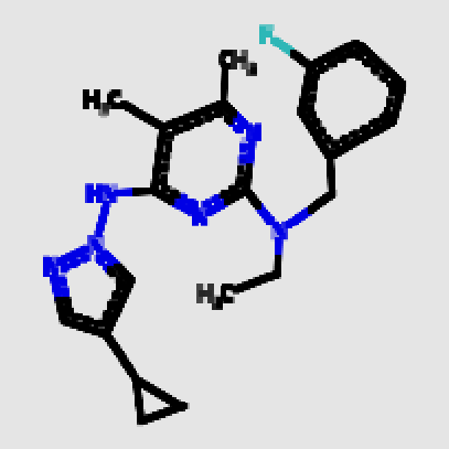 CCN(Cc1cccc(F)c1)c1nc(C)c(C)c(Nn2cc(C3CC3)cn2)n1